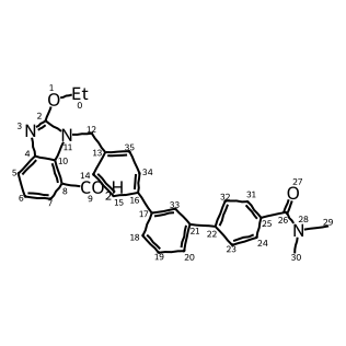 CCOc1nc2cccc(C(=O)O)c2n1Cc1ccc(-c2cccc(-c3ccc(C(=O)N(C)C)cc3)c2)cc1